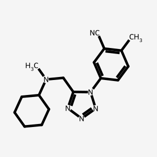 Cc1ccc(-n2nnnc2CN(C)C2CCCCC2)cc1C#N